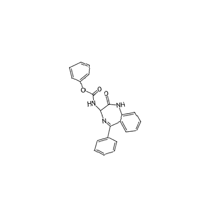 O=C(NC1N=C(c2ccccc2)c2ccccc2NC1=O)Oc1ccccc1